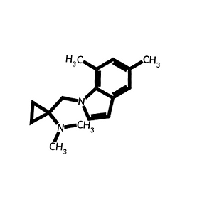 Cc1cc(C)c2c(ccn2CC2(N(C)C)CC2)c1